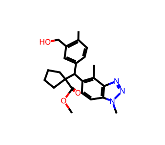 COC(=O)C1(C(c2ccc(C)c(CO)c2)c2ccc3c(nnn3C)c2C)CCCC1